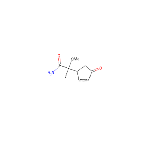 COC(C)(C(N)=O)C1C=CC(=O)C1